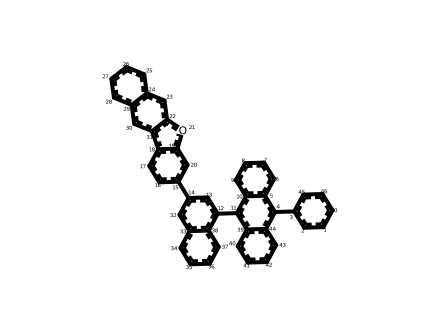 c1ccc(-c2c3ccccc3c(-c3cc(-c4ccc5c(c4)oc4cc6ccccc6cc45)cc4ccccc34)c3ccccc23)cc1